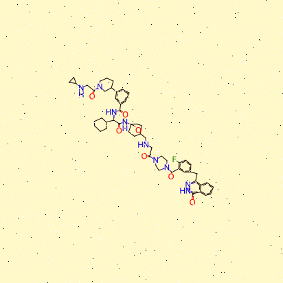 O=C(N[C@@H](C(=O)NC12CCC(CNCC(=O)N3CCN(C(=O)c4cc(Cc5n[nH]c(=O)c6ccccc56)ccc4F)CC3)(CC1)OC2)C1CCCCC1)c1cccc(C2CCCN(C(=O)CNC3CC3)C2)c1